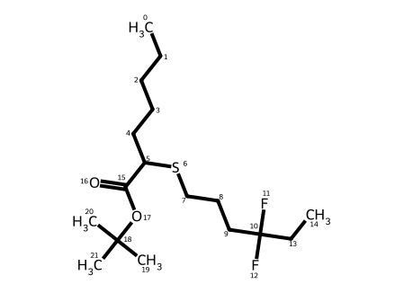 CCCCCC(SCCCC(F)(F)CC)C(=O)OC(C)(C)C